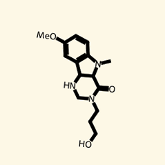 COc1ccc2c(c1)C1NCN(CCCO)C(=O)C1N2C